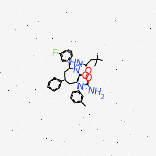 Cc1cccc(N(C(N)=O)C2CC(c3ccccc3)CC(c3cccc(F)c3)N(NC(=O)CC(C)(C)C)C2=O)c1